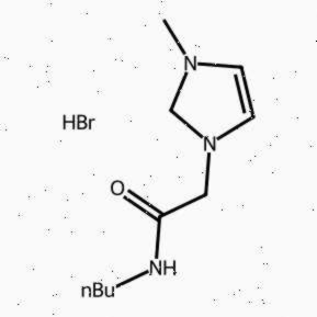 Br.CCCCNC(=O)CN1C=CN(C)C1